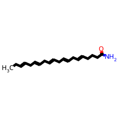 CCC=CCC=CCC=CCC=CCC=CCCCC(N)=O